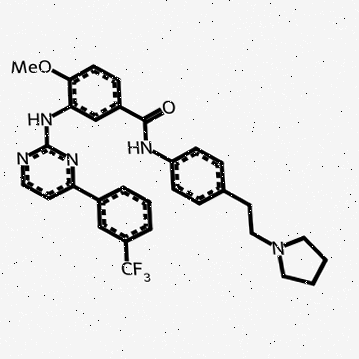 COc1ccc(C(=O)Nc2ccc(CCN3CCCC3)cc2)cc1Nc1nccc(-c2cccc(C(F)(F)F)c2)n1